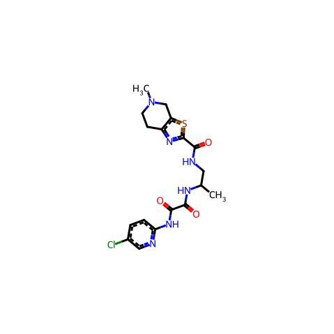 CC(CNC(=O)c1nc2c(s1)CN(C)CC2)NC(=O)C(=O)Nc1ccc(Cl)cn1